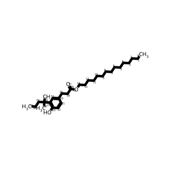 CCCCCCCCCCCCCCCOC(=O)CCc1ccc(O)c(C(C)(C)CCC)c1